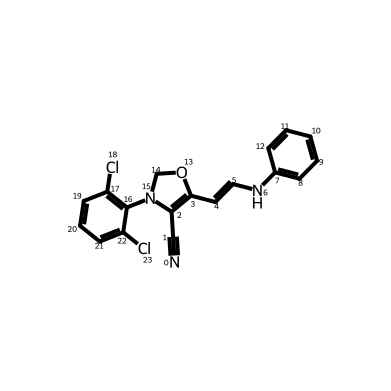 N#CC1=C(C=CNc2ccccc2)OCN1c1c(Cl)cccc1Cl